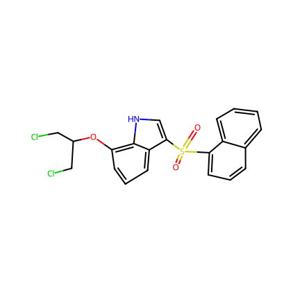 O=S(=O)(c1cccc2ccccc12)c1c[nH]c2c(OC(CCl)CCl)cccc12